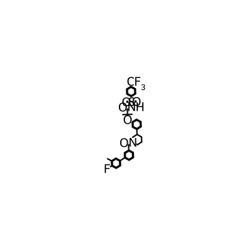 Cc1cc(-c2cccc(C(=O)N3CCCC(c4cccc(OC(C)(C)C(=O)NS(=O)(=O)c5ccc(C(F)(F)F)cc5)c4)C3)c2)ccc1F